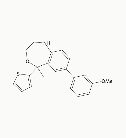 COc1cccc(-c2ccc3c(c2)C(C)(c2cccs2)OCCN3)c1